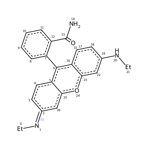 CC/N=c1\ccc2c(-c3ccccc3C(N)=O)c3ccc(NCC)cc3oc-2c1